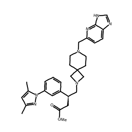 COC(=O)C[C@H](CN1CC2(CCN(Cc3ccc4nc[nH]c4n3)CC2)C1)c1cccc(-n2nc(C)cc2C)c1